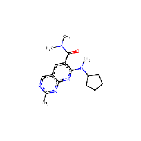 Cc1ncc2cc(C(=O)N(C)C)c(N(C)C3CCCC3)nc2n1